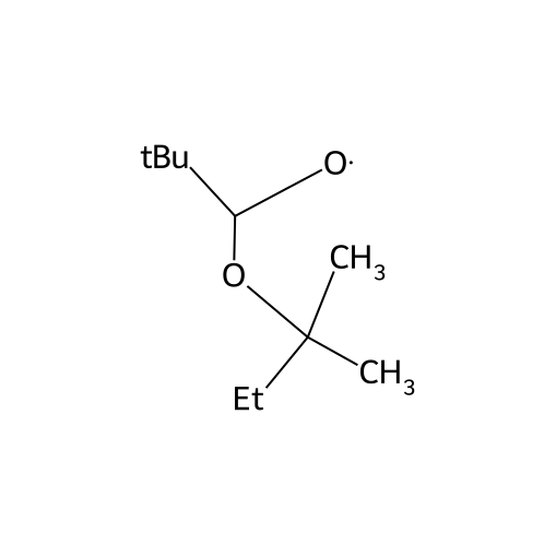 CCC(C)(C)OC([O])C(C)(C)C